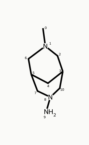 CN1CC2CC(C1)CN(N)C2